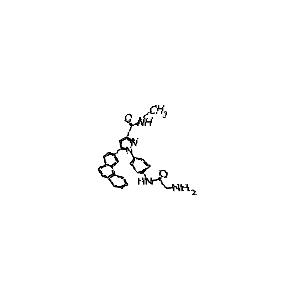 CCNC(=O)c1cc(-c2ccc3ccc4ccccc4c3c2)n(-c2ccc(NC(=O)CN)cc2)n1